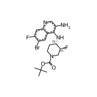 CC(C)(C)OC(=O)N1CC[C@H](Nc2c(N)cnc3cc(F)c(Br)cc23)[C@@H](F)C1